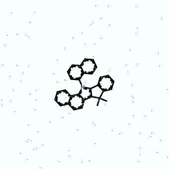 CC1(C)c2ccccc2-c2c1c1ccc3ccccc3c1n2-c1cccc2ccccc12